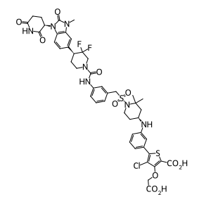 Cn1c(=O)n([C@@H]2CCC(=O)NC2=O)c2ccc([C@@H]3CCN(C(=O)Nc4cccc(CS(=O)(=O)N5CC[C@H](Nc6cccc(-c7sc(C(=O)O)c(OCC(=O)O)c7Cl)c6)CC5(C)C)c4)CC3(F)F)cc21